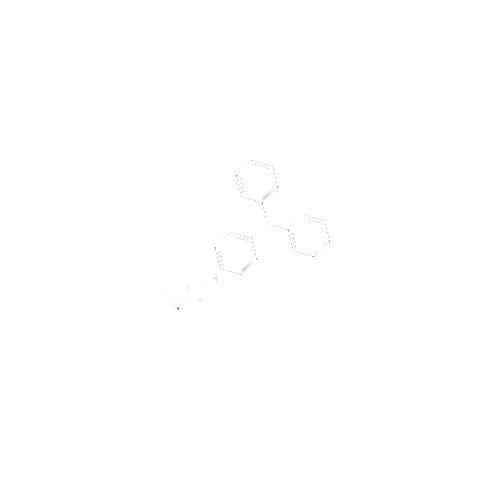 O=S(=O)(O)C(F)(F)F.c1ccc([S+](c2ccccc2)c2ccccc2)cc1